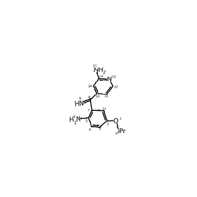 CC(C)Oc1ccc(N)c(C(=N)c2ccnc(N)c2)c1